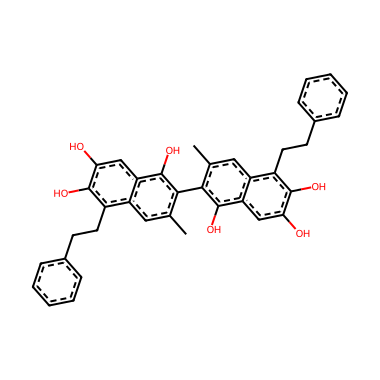 Cc1cc2c(CCc3ccccc3)c(O)c(O)cc2c(O)c1-c1c(C)cc2c(CCc3ccccc3)c(O)c(O)cc2c1O